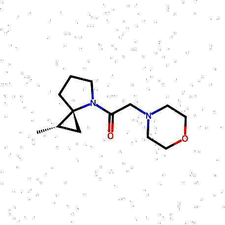 C[C@H]1C[C@]12CCCN2C(=O)CN1CCOCC1